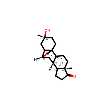 C[C@H]1O[C@@H]2C[C@@H]3C(CC[C@]4(C)C(=O)CC[C@@H]34)C13CC[C@@](C)(O)CC23